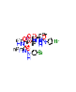 CCC[C@H](NC(=O)Nc1ccc(Br)cc1)C(=O)NC(O[PH](=O)OC(NC(=O)[C@H](CCC)NC(=O)Nc1ccc(Br)cc1)(C(C)C)C(C)C)(C(C)C)C(C)C